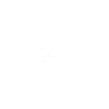 CO[C@@]12CCCO[C@@H]1CCCC2Nc1ccc(F)cc1